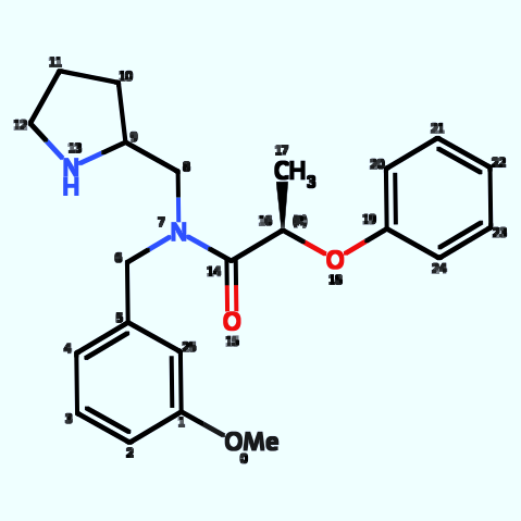 COc1cccc(CN(CC2CCCN2)C(=O)[C@@H](C)Oc2ccccc2)c1